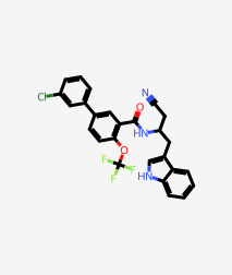 N#CCC(Cc1c[nH]c2ccccc12)NC(=O)c1cc(-c2cccc(Cl)c2)ccc1OC(F)(F)F